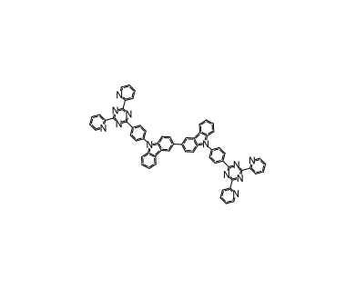 c1ccc(-c2nc(-c3ccc(-n4c5ccccc5c5cc(-c6ccc7c(c6)c6ccccc6n7-c6ccc(-c7nc(-c8ccccn8)nc(-c8ccccn8)n7)cc6)ccc54)cc3)nc(-c3ccccn3)n2)nc1